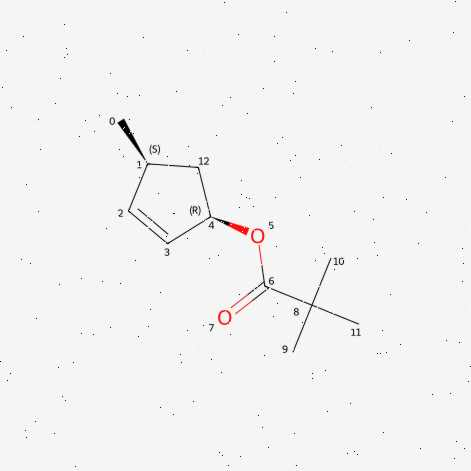 C[C@@H]1C=C[C@H](OC(=O)C(C)(C)C)C1